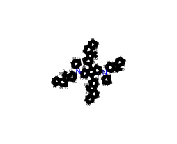 CC1(C)c2ccccc2-c2ccc(N(c3ccccc3)c3ccc4c(-c5ccc6c(c5)C(C)(C)c5c-6ccc6ccccc56)c5cc(N(c6ccccc6)c6ccc7c(c6)C(C)(C)c6c-7ccc7ccccc67)ccc5c(-c5ccc6c(c5)C(C)(C)c5c-6ccc6ccccc56)c4c3)cc21